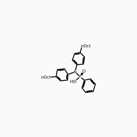 CCCCCCCCc1ccc(N(c2ccc(CCCCCCCC)cc2)P(=O)(O)c2ccccc2)cc1